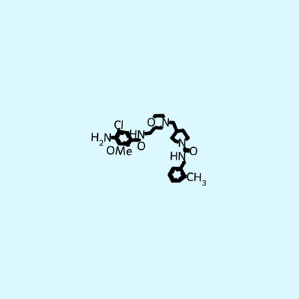 COc1cc(N)c(Cl)cc1C(=O)NCC1CN(CC2CCN(C(=O)NCc3ccccc3C)CC2)CCO1